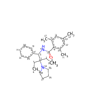 CCC(CC)(C(NC(=O)c1c(C)cc(C)cc1C)c1ccccc1)N1CCCC1